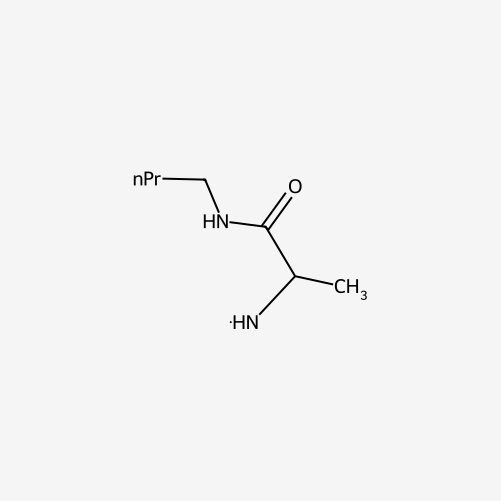 CCCCNC(=O)C(C)[NH]